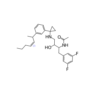 CCC/C=C\C(C)c1cccc(C2(NCC(O)C(Cc3cc(F)cc(F)c3)NC(C)=O)CC2)c1